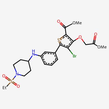 CCS(=O)(=O)N1CCC(Nc2cccc(-c3sc(C(=O)OC)c(OCC(=O)OC)c3Br)c2)CC1